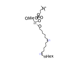 CCCCCC/C=C\CCCC/C=C\CCCCCOC[C@H](COC)OP(=O)([O-])OCC[N+](C)(C)C